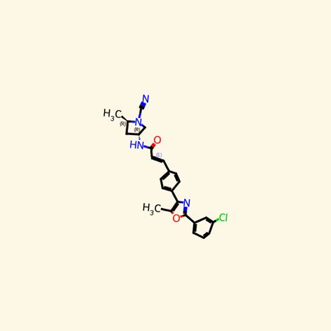 Cc1oc(-c2cccc(Cl)c2)nc1-c1ccc(/C=C/C(=O)N[C@@H]2C[C@@H](C)N(C#N)C2)cc1